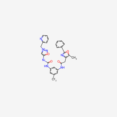 Cc1oc(-c2ccccc2)nc1CC(=O)Nc1cc(NC(=O)[N-]c2c[n+](Cc3ccccn3)no2)cc(C(F)(F)F)c1